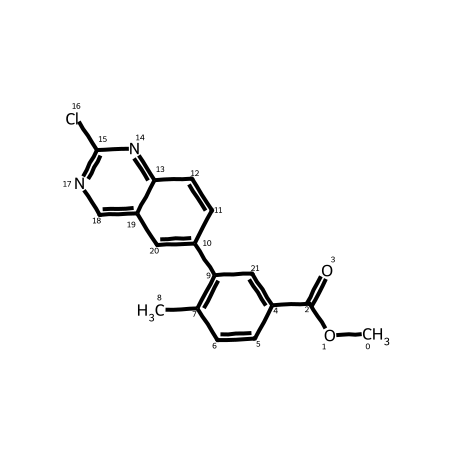 COC(=O)c1ccc(C)c(-c2ccc3nc(Cl)ncc3c2)c1